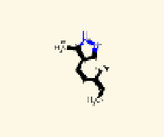 C/C=C(\C=C/c1cn[nH]c1C)C(C)C